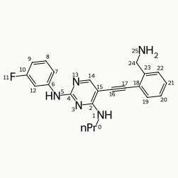 CCCNc1nc(Nc2cccc(F)c2)ncc1C#Cc1ccccc1CN